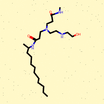 CCCCCCCCCCC(C)NC(=O)CCN(CCNCCO)CCC(=O)NC